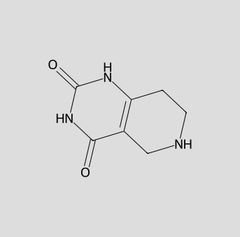 O=c1[nH]c2c(c(=O)[nH]1)CNCC2